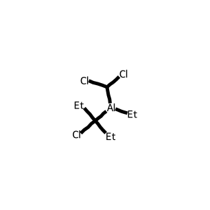 C[CH2][Al]([CH](Cl)Cl)[C](Cl)(CC)CC